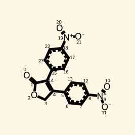 O=C1OCC(c2ccc([N+](=O)[O-])cc2)=C1c1ccc([N+](=O)[O-])cc1